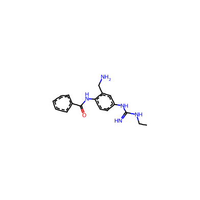 CCNC(=N)Nc1ccc(NC(=O)c2ccccc2)c(CN)c1